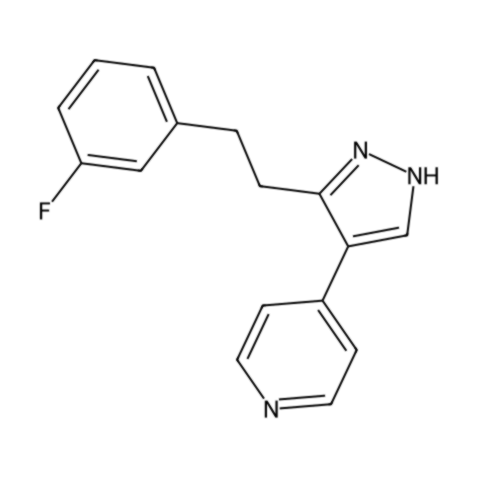 Fc1cccc(CCc2n[nH]cc2-c2ccncc2)c1